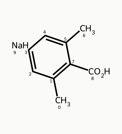 Cc1cccc(C)c1C(=O)O.[NaH]